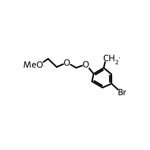 [CH2]c1cc(Br)ccc1OCOCCOC